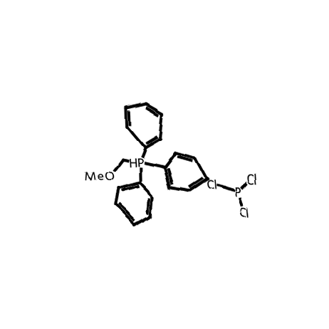 COC[PH](c1ccccc1)(c1ccccc1)c1ccccc1.ClP(Cl)Cl